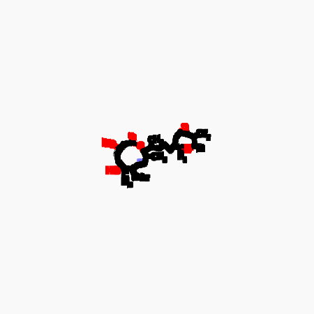 CCC(O)C(C)C1OC1CC(C)CCCC(C)C1OC(=O)CC(O)CCC(C)(O)C(OC(C)=O)/C=C/C1C